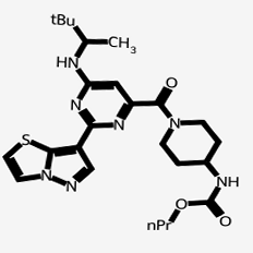 CCCOC(=O)NC1CCN(C(=O)c2cc(NC(C)C(C)(C)C)nc(-c3cnn4ccsc34)n2)CC1